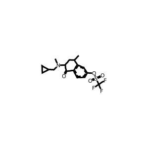 CC1CC(N(C)CC2CC2)C(=O)c2ccc(OS(=O)(=O)C(F)(F)F)cc21